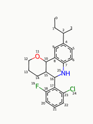 CCC(C)c1ccc2c(c1)C1OCCCC1C(c1c(F)cccc1Cl)N2